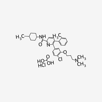 Cc1ccccc1-c1ccc(C(=O)NC2CCC(C)CC2)nc1-c1ccc(Cl)c(OCCCN(C)C)c1.Cl.O=C(O)O